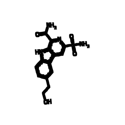 NC(=O)c1nc(S(N)(=O)=O)cc2c1[nH]c1ccc(CCO)cc12